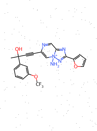 CC(O)(C#CC1=C[N+]2(N)N=C(c3ccco3)N=C2C=N1)c1cccc(OC(F)(F)F)c1